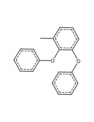 Cc1cccc(Oc2ccccc2)c1Oc1ccccc1